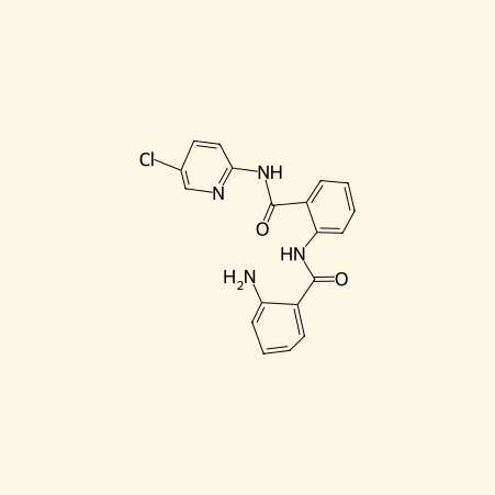 Nc1ccccc1C(=O)Nc1ccccc1C(=O)Nc1ccc(Cl)cn1